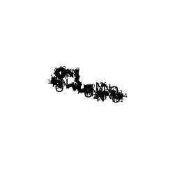 CN(CCCN(CCCNC(=O)OC(C)(C)C)CC1CCC(n2cnc3c(NC(=O)OC(C)(C)C)ncnc32)O1)CCc1ccccc1